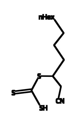 CCCCCCCCCC(CC#N)SC(=S)S